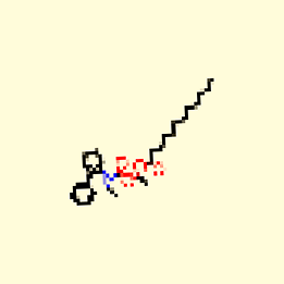 CCCCCCCCCCCC(=O)OC(C)OC(=O)N(CC)C1C2CCC(C2)C1c1ccccc1